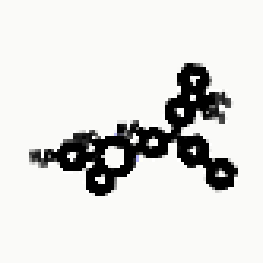 CC1C=CC(N2c3ccccc3C/C=C(C3C=CC(N(c4ccc(-c5ccccc5)cc4)c4ccc5c(c4)C(C)(C)c4ccccc4-5)CC3C)\C=C/C2C)=CC1